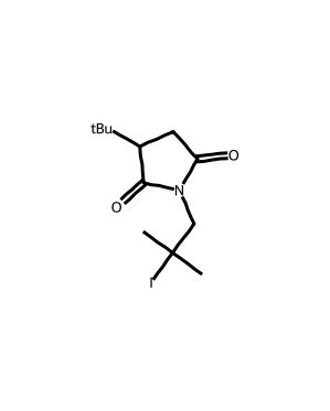 CC(C)(I)CN1C(=O)CC(C(C)(C)C)C1=O